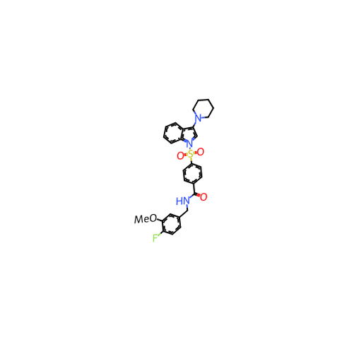 COc1cc(CNC(=O)c2ccc(S(=O)(=O)n3cc(N4CCCCC4)c4ccccc43)cc2)ccc1F